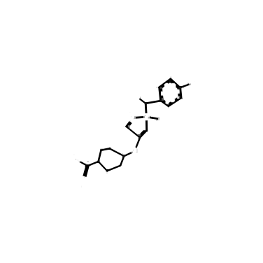 CC[N+]1(C(C)c2ccc(Cl)cc2)C=C(NC2CCC(C(N)=O)CC2)C=N1